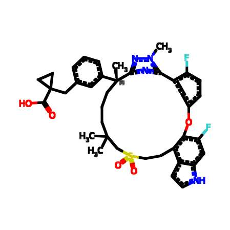 Cn1nc2nc1-c1cc(ccc1F)Oc1c(F)cc3[nH]ccc3c1CCS(=O)(=O)CC(C)(C)CCC[C@]2(C)c1cccc(CC2(C(=O)O)CC2)c1